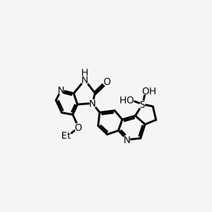 CCOc1ccnc2[nH]c(=O)n(-c3ccc4ncc5c(c4c3)S(O)(O)CC5)c12